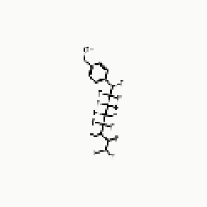 OCc1ccc(C(F)C(F)(F)C(F)(F)C(F)(F)C(F)(F)C(F)C(F)C(F)F)cc1